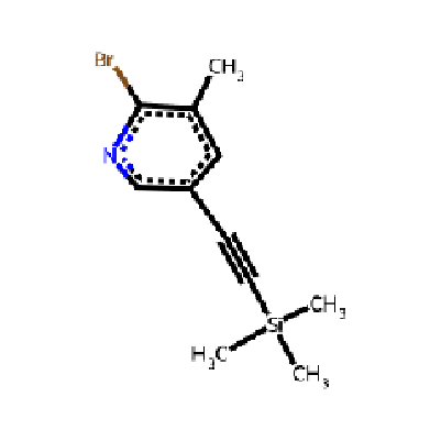 Cc1cc(C#C[Si](C)(C)C)cnc1Br